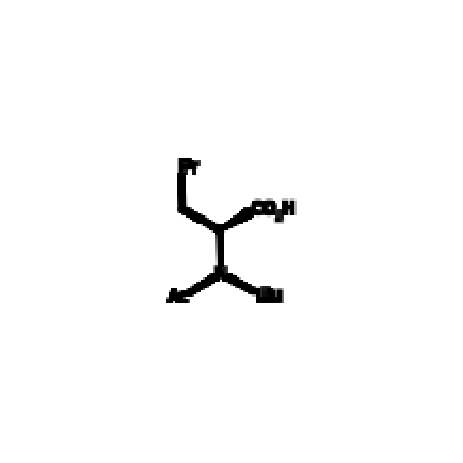 CC(=O)N([C@@H](CC(C)C)C(=O)O)C(C)(C)C